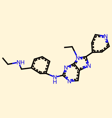 CCNCc1cccc(Nc2ncc3nc(-c4ccncc4)n(CC)c3n2)c1